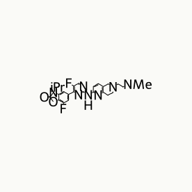 CNCCN1CCc2nc(Nc3ncc(F)c(-c4cc(F)c5oc(=O)n(C(C)C)c5c4)n3)ccc2C1